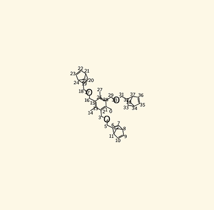 Cc1c(COCC2CC3C=CC2C3)c(C)c(COCC2CC3C=CC2C3)c(C)c1COCC1CC2C=CC1C2